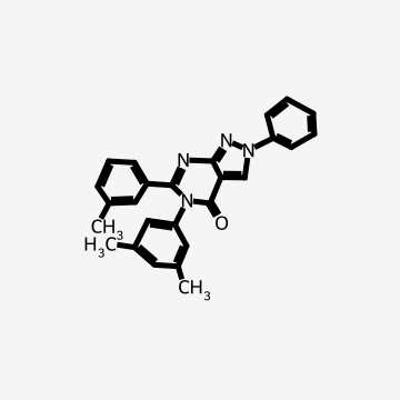 Cc1cccc(-c2nc3nn(-c4ccccc4)cc3c(=O)n2-c2cc(C)cc(C)c2)c1